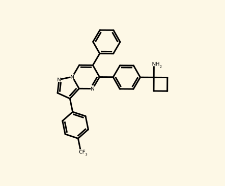 NC1(c2ccc(-c3nc4c(-c5ccc(C(F)(F)F)cc5)cnn4cc3-c3ccccc3)cc2)CCC1